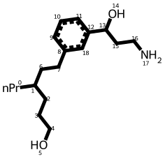 CCCC(CCCO)CCc1cccc(C(O)CCN)c1